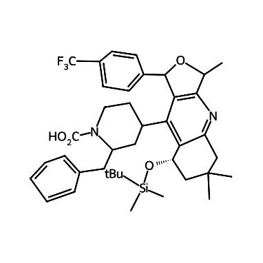 CC1OC(c2ccc(C(F)(F)F)cc2)c2c1nc1c(c2C2CCN(C(=O)O)C(Cc3ccccc3)C2)[C@@H](O[Si](C)(C)C(C)(C)C)CC(C)(C)C1